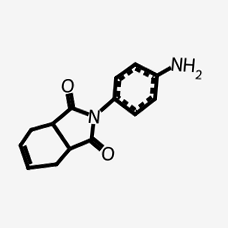 Nc1ccc(N2C(=O)C3CC=CCC3C2=O)cc1